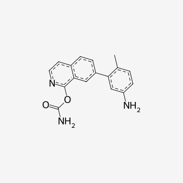 Cc1ccc(N)cc1-c1ccc2ccnc(OC(N)=O)c2c1